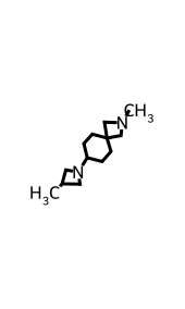 CC1CN(C2CCC3(CC2)CN(C)C3)C1